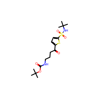 CC(C)(C)NS(=O)(=O)c1ccc(C(=O)CCCNC(=O)OC(C)(C)C)s1